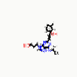 CCC(CC)Nc1nc(C#CC2(O)CCCC(C)C2)nc2c1ncn2CCCO